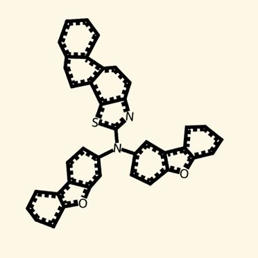 c1ccc2c(c1)ccc1c2ccc2nc(N(c3ccc4c(c3)oc3ccccc34)c3ccc4oc5ccccc5c4c3)sc21